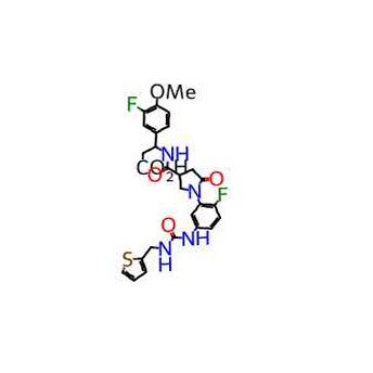 COc1ccc(C(CC(=O)O)NC(=O)C2CC(=O)N(c3cc(NC(=O)NCc4cccs4)ccc3F)C2)cc1F